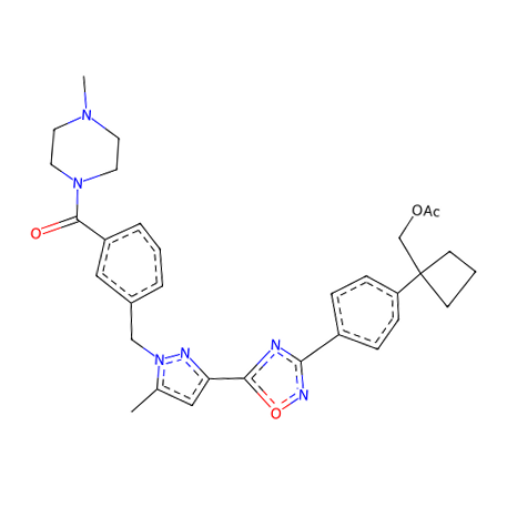 CC(=O)OCC1(c2ccc(-c3noc(-c4cc(C)n(Cc5cccc(C(=O)N6CCN(C)CC6)c5)n4)n3)cc2)CCC1